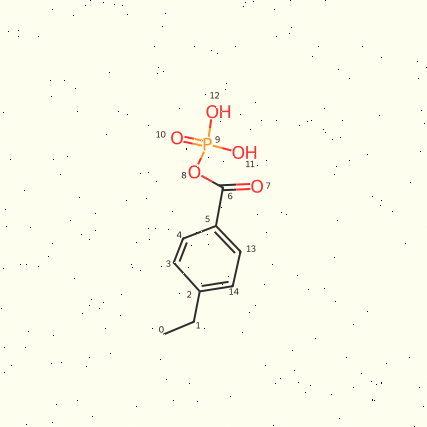 CCc1ccc(C(=O)OP(=O)(O)O)cc1